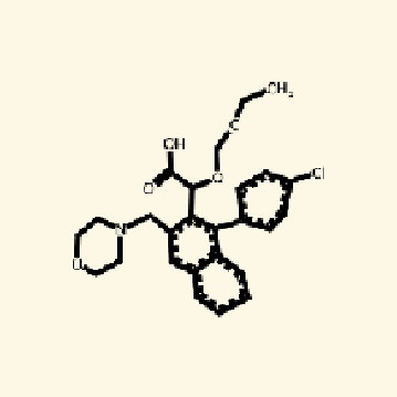 CCCCOC(C(=O)O)c1c(CN2CCOCC2)cc2ccccc2c1-c1ccc(Cl)cc1